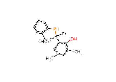 CCC(C)(Pc1ccccc1C=O)c1cc(C)cc(C)c1O